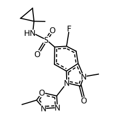 Cc1nnc(-n2c(=O)n(C)c3cc(F)c(S(=O)(=O)NC4(C)CC4)cc32)o1